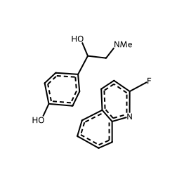 CNCC(O)c1ccc(O)cc1.Fc1ccc2ccccc2n1